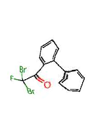 O=C(c1ccccc1-c1ccccc1)C(F)(Br)Br